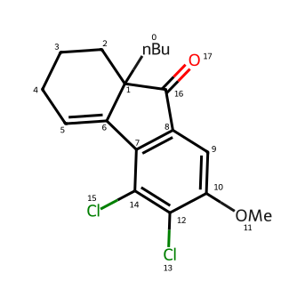 CCCCC12CCCC=C1c1c(cc(OC)c(Cl)c1Cl)C2=O